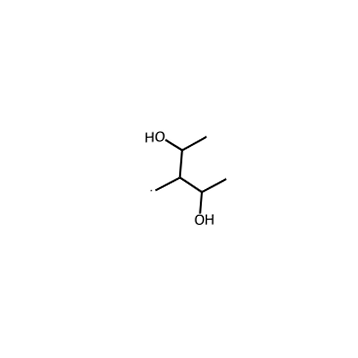 [CH2]C(C(C)O)C(C)O